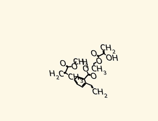 C=C(C)C(=O)OC.C=C(O)C(=O)OCC.C=Cc1ccccc1C(=O)O